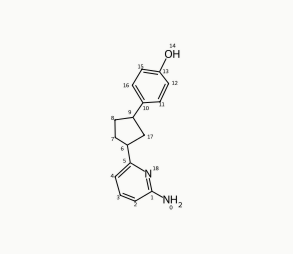 Nc1cccc(C2CCC(c3ccc(O)cc3)C2)n1